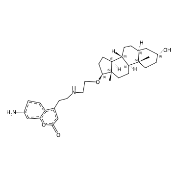 C[C@]12CC[C@@H](O)C[C@@H]1CC[C@@H]1[C@@H]2CC[C@]2(C)[C@@H](OCCNCCc3cc(=O)oc4cc(N)ccc34)CC[C@@H]12